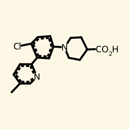 Cc1ccc(-c2cc(N3CCC(C(=O)O)CC3)ccc2Cl)nc1